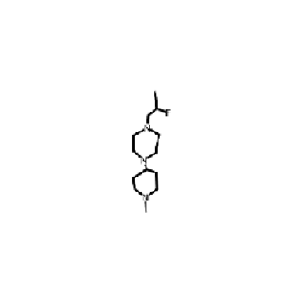 CC(F)CN1CCN(C2CCN(C)CC2)CC1